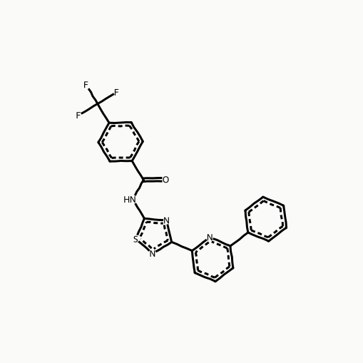 O=C(Nc1nc(-c2cccc(-c3ccccc3)n2)ns1)c1ccc(C(F)(F)F)cc1